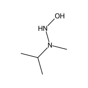 CC(C)N(C)NO